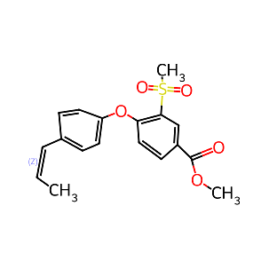 C/C=C\c1ccc(Oc2ccc(C(=O)OC)cc2S(C)(=O)=O)cc1